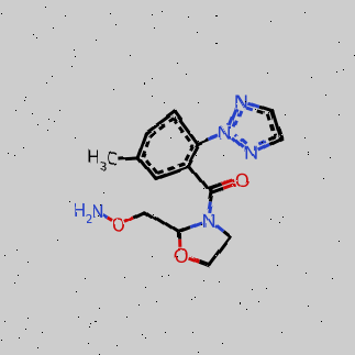 Cc1ccc(-n2nccn2)c(C(=O)N2CCOC2CON)c1